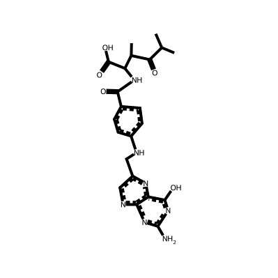 CC(C)C(=O)C(C)C(NC(=O)c1ccc(NCc2cnc3nc(N)nc(O)c3n2)cc1)C(=O)O